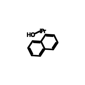 CC(C)O.c1ccc2ccccc2c1